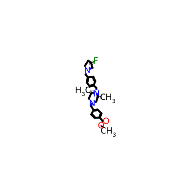 COC(=O)c1ccc(CN2C[C@@H](C)N(Cc3ccc(CN4CC[C@@H](F)C4)cc3)[C@@H](C)C2)cc1